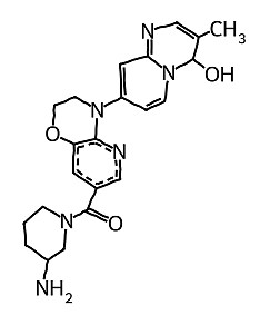 CC1=CN=C2C=C(N3CCOc4cc(C(=O)N5CCCC(N)C5)cnc43)C=CN2C1O